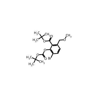 COCc1ccc(Br)c(OC(=O)OC(C)(C)C)c1C(=O)OC(C)(C)C